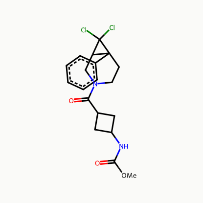 COC(=O)NC1CC(C(=O)N2CCC3(c4ccccc4)C(C2)C3(Cl)Cl)C1